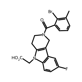 Cc1cccc(C(=O)N2CCc3c(c4cc(F)ccc4n3CC(=O)O)C2)c1Br